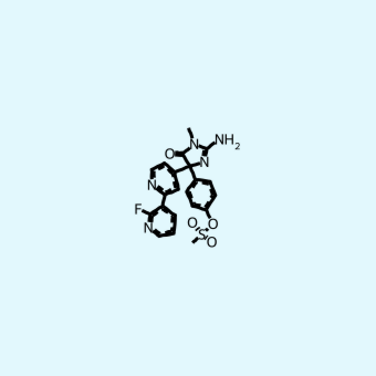 CN1C(=O)C(c2ccc(OS(C)(=O)=O)cc2)(c2ccnc(-c3cccnc3F)c2)N=C1N